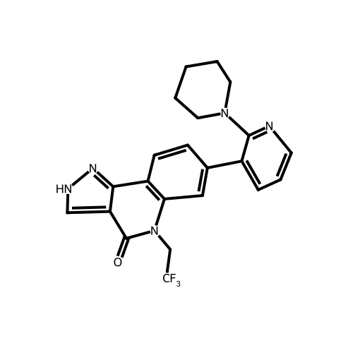 O=c1c2c[nH]nc2c2ccc(-c3cccnc3N3CCCCC3)cc2n1CC(F)(F)F